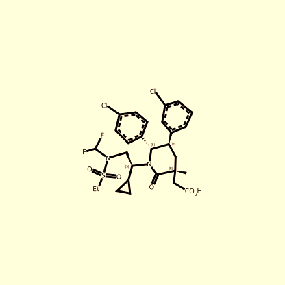 CCS(=O)(=O)N(C[C@H](C1CC1)N1C(=O)[C@@](C)(CC(=O)O)C[C@H](c2cccc(Cl)c2)[C@H]1c1ccc(Cl)cc1)C(F)F